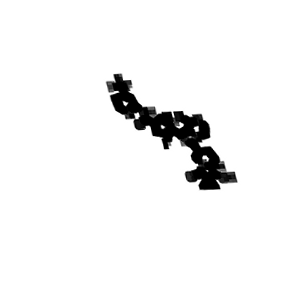 Nc1nccn2c(C3CC[C@H]4C(O)C5(CC5)C(=O)N4C3)nc(-c3ccc(C(=O)Nc4cc(C(F)(F)F)ccn4)cc3F)c12